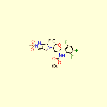 CC(C)(C)OC(=O)N[C@H]1C[C@@H](N2Cc3cn(S(C)(=O)=O)nc3C2)[C@@H](C(F)(F)F)O[C@@H]1c1cc(F)c(F)cc1F